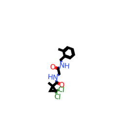 Cc1ccccc1CNC(=O)CNC(=O)C1(C)CC1(Cl)Cl